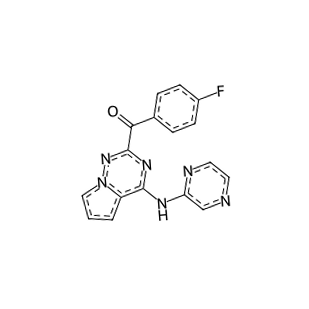 O=C(c1ccc(F)cc1)c1nc(Nc2cnccn2)c2cccn2n1